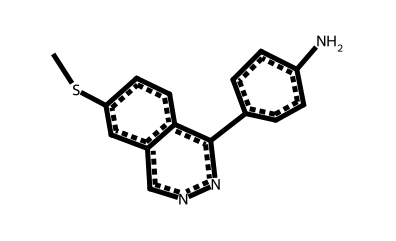 CSc1ccc2c(-c3ccc(N)cc3)nncc2c1